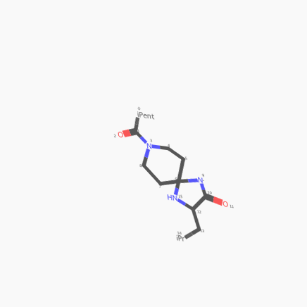 CCCC(C)C(=O)N1CCC2(CC1)[N]C(=O)C(CC(C)C)N2